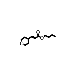 CCCCOC(=O)C=CC1CCOCC1